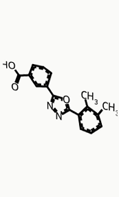 Cc1cccc(-c2nnc(-c3cccc(C(=O)O)c3)o2)c1C